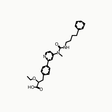 CCOC(Cc1ccc(-c2cc(N(C)C(=O)NCCCCc3ccccc3)ccn2)cc1)C(=O)O